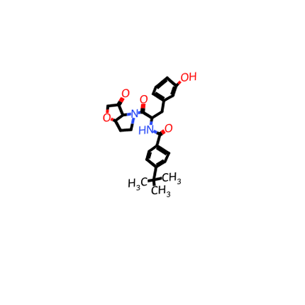 CC(C)(C)c1ccc(C(=O)NC(Cc2cccc(O)c2)C(=O)N2CCC3OCC(=O)C32)cc1